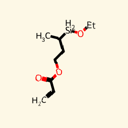 C=CC(=O)OCCC(C)[SiH2]OCC